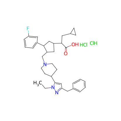 CCn1nc(Cc2ccccc2)cc1C1CCN(CC2CC(C(CC3CC3)C(=O)O)CC2c2cccc(F)c2)CC1.Cl.Cl